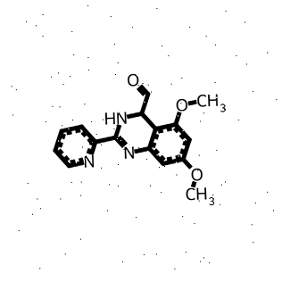 COc1cc2c(c(OC)c1)C(C=O)NC(c1ccccn1)=N2